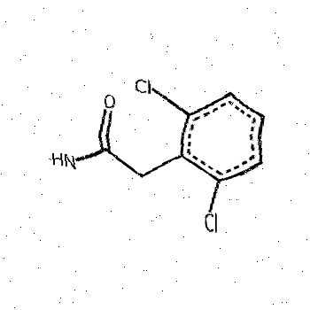 [NH]C(=O)Cc1c(Cl)cccc1Cl